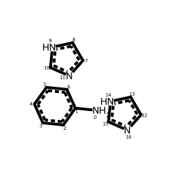 Nc1ccccc1.c1c[nH]cn1.c1c[nH]cn1